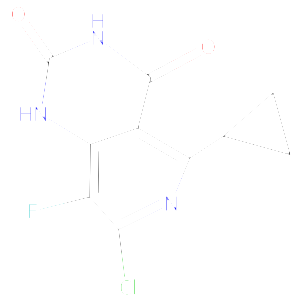 O=c1[nH]c(=O)c2c(C3CC3)nc(Cl)c(F)c2[nH]1